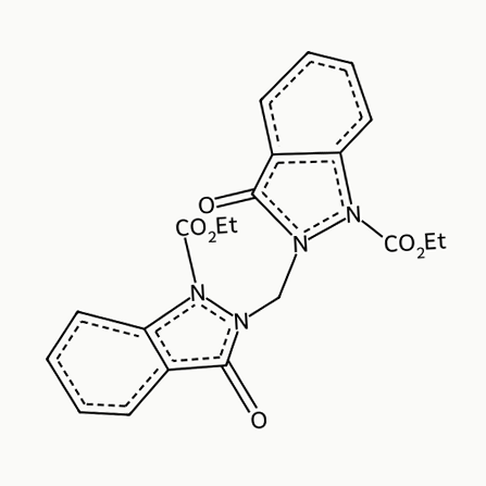 CCOC(=O)n1c2ccccc2c(=O)n1Cn1c(=O)c2ccccc2n1C(=O)OCC